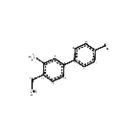 Cc1cc(-c2ccc(Br)cc2)ccc1CO